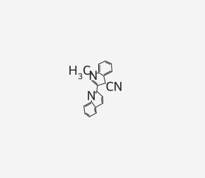 CN1C=C(c2ccc3ccccc3n2)C(C#N)c2ccccc21